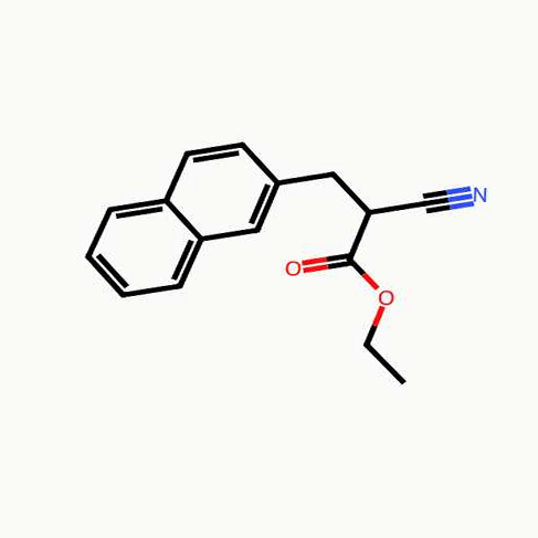 CCOC(=O)C(C#N)Cc1ccc2ccccc2c1